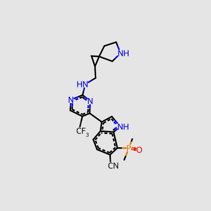 CP(C)(=O)c1c(C#N)ccc2c(-c3nc(NCC4CC45CCNC5)ncc3C(F)(F)F)c[nH]c12